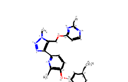 Cc1nc(-c2nnn(C)c2COc2ccnc(C(C)C)n2)ccc1O[C@H]1CCC[C@H](C(=O)O)C1